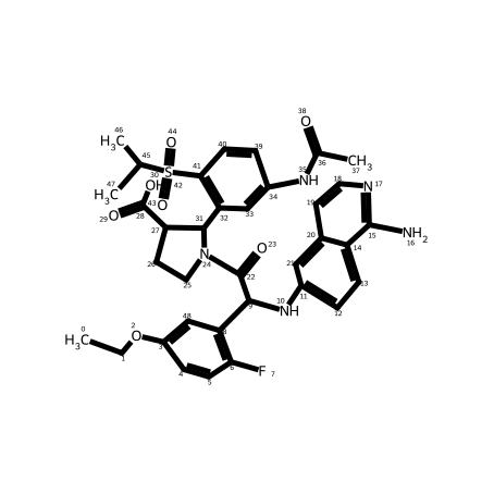 CCOc1ccc(F)c(C(Nc2ccc3c(N)nccc3c2)C(=O)N2CCC(C(=O)O)C2c2cc(NC(C)=O)ccc2S(=O)(=O)C(C)C)c1